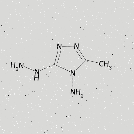 Cc1nnc(NN)n1N